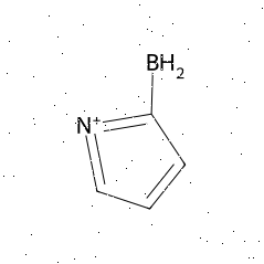 BC1=[N+]=CC=C1